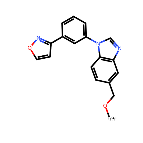 CCCOCc1ccc2c(c1)ncn2-c1cccc(-c2ccon2)c1